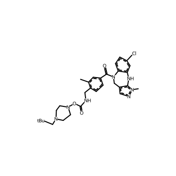 Cc1cc(C(=O)N2Cc3cnn(C)c3Nc3cc(Cl)ccc32)ccc1CNC(=O)ON1CCN(CC(C)(C)C)CC1